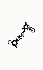 CC(CN=C=O)CC(C)(C)CCN=C=O.CC1=CC(=O)CC(C)(C)C1